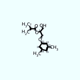 C=C(C)C(=O)OC(CO)COc1cc(C)cc(C)c1